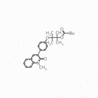 CCC(C)C(=O)OC(C)(C)C(C)(C)Oc1ccc(-c2cc3ccccc3n(C)c2=O)cc1